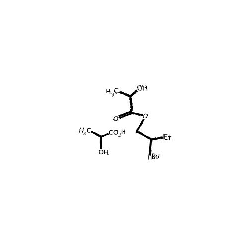 CC(O)C(=O)O.CCCCC(CC)COC(=O)C(C)O